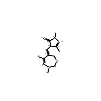 CC1=NN(C)COC/C1=C\C1C(=O)N(C)N=C1C